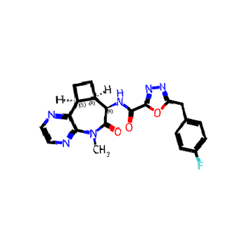 CN1C(=O)[C@H](NC(=O)c2nnc(Cc3ccc(F)cc3)o2)[C@@H]2CC[C@@H]2c2nccnc21